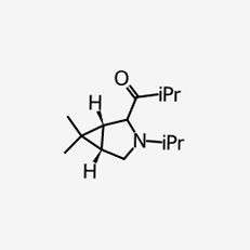 CC(C)C(=O)C1[C@@H]2[C@H](CN1C(C)C)C2(C)C